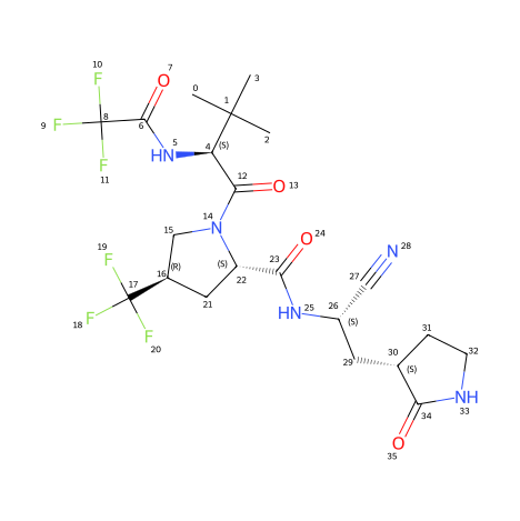 CC(C)(C)[C@H](NC(=O)C(F)(F)F)C(=O)N1C[C@H](C(F)(F)F)C[C@H]1C(=O)N[C@H](C#N)C[C@@H]1CCNC1=O